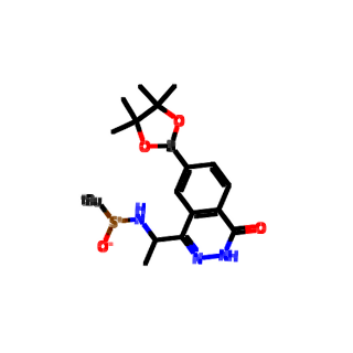 CC(N[S+]([O-])C(C)(C)C)c1n[nH]c(=O)c2ccc(B3OC(C)(C)C(C)(C)O3)cc12